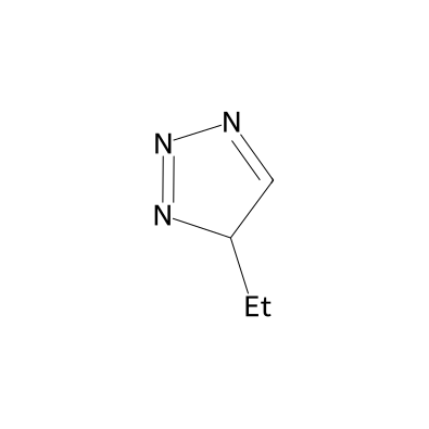 CCC1C=NN=N1